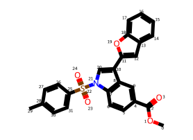 COC(=O)c1ccc2c(c1)c(-c1cc3ccccc3o1)cn2S(=O)(=O)c1ccc(C)cc1